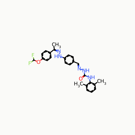 CC(=NNc1ccc(C=NNC(=O)Nc2c(C)cccc2C)cc1)c1ccc(OC(F)F)cc1